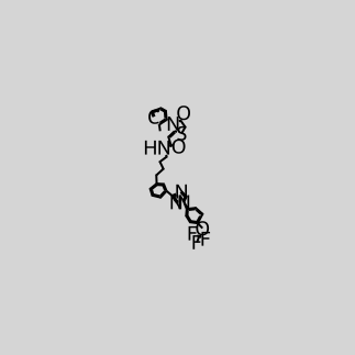 Cc1ccccc1N1C(=O)CS/C1=C\C(=O)NCCCCc1cccc(-c2ncn(-c3ccc(OC(F)(F)F)cc3)n2)c1